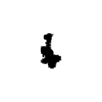 CC(C)CC(NC(=O)N1CCCCCC1)C(=O)NC(Cc1cn(C)c2ccccc12)C(=O)N[C@H](Cc1ccccn1)C(=O)OCCCCCCO[N+](=O)[O-]